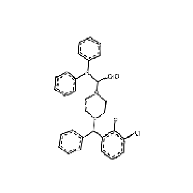 O=CC(N1CCN(C(c2ccccc2)c2cccc(Cl)c2Cl)CC1)N(c1ccccc1)c1ccccc1